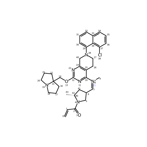 C=CC(=O)N1CC(/C=[N+](/C)c2nc(OCC34CCCN3CCC4)nc3c2CCN(c2cccc4cccc(Cl)c24)C3)C[C@H]1C